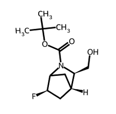 CC(C)(C)OC(=O)N1C2C[C@@H](C[C@H]2F)[C@@H]1CO